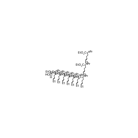 CC/C=C/CCC(CCC)C(=O)OCC.CC/C=C/CCC(CCC)C(=O)OCC.CC/C=C/CCC(CCC)C(=O)OCC.CC/C=C/CCC(CCC)C(=O)OCC.CC/C=C/CCC(CCC)C(=O)OCC.CC/C=C/CCC(CCC)C(=O)OCC.CC/C=C/CCC(CCC)C(=O)OCC.CC/C=C/CCC(CCC)C(=O)OCC.CC/C=C/CCC(CCC)C(=O)OCC.Cl.Cl